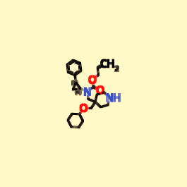 C=CCOC(=O)N(CC1(COC2CCCCC2)CCNCC1)[C@@H]1C[C@H]1c1ccccc1